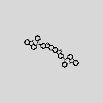 c1ccc(N(c2ccc3c(c2)sc2cc4cc5sc6cc(N(c7ccccc7)c7cccc8c7sc7ccccc78)ccc6c5cc4cc23)c2cccc3c2sc2ccccc23)cc1